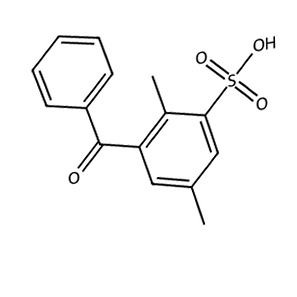 Cc1cc(C(=O)c2ccccc2)c(C)c(S(=O)(=O)O)c1